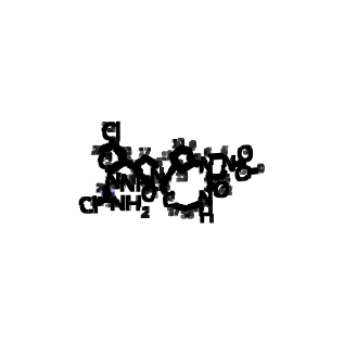 COC(=O)N1CCN2c3cccc(c3)C(N3CCC(c4cc(Cl)ccc4N(N)/C=C(\N)Cl)=CC3=O)CCCCCNC(=O)C2C1